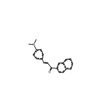 CN(C)c1ccc(C=CC(=O)c2ccc3ccccc3c2)cc1